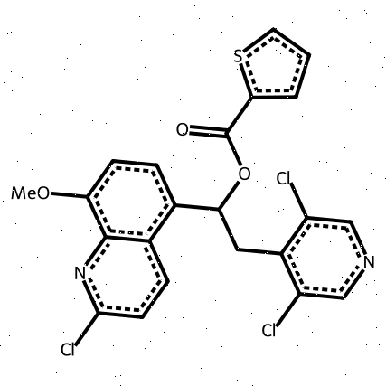 COc1ccc(C(Cc2c(Cl)cncc2Cl)OC(=O)c2cccs2)c2ccc(Cl)nc12